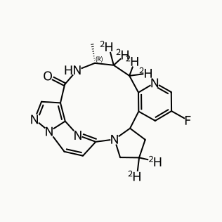 [2H]C1([2H])CC2c3cc(F)cnc3C([2H])([2H])C([2H])([2H])[C@@H](C)NC(=O)c3cnn4ccc(nc34)N2C1